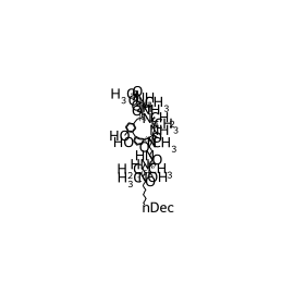 C=C1N[C@H](C(=O)N[C@@H](C)C(=O)NS(C)(=O)=O)Cc2ccc(O)c(c2)-c2cc(ccc2O)[C@H](N(C)C(=O)CNC(=O)[C@@H](C)NC(=C)[C@@H](CO)N(C)C(=O)CCCCCCCCCCCCCCC)C(=O)N[C@H]1C